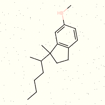 CBc1ccc2c(c1)C(C)(C(C)CCCC)CC2